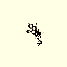 CSC(=O)[C@@]12OC(c3ccc(C)o3)O[C@@H]1C[C@H]1[C@@H]3C[C@H](F)C4=CC(=O)C=C[C@]4(C)[C@@]3(F)[C@@H](O)C[C@@]12C